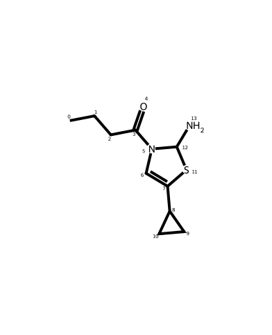 CCCC(=O)N1C=C(C2CC2)SC1N